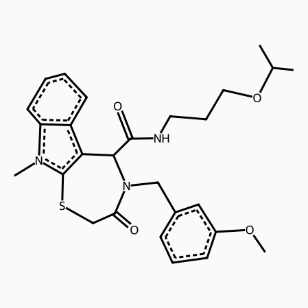 COc1cccc(CN2C(=O)CSc3c(c4ccccc4n3C)C2C(=O)NCCCOC(C)C)c1